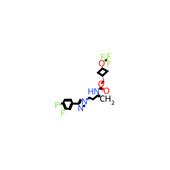 C=C(CCn1cnc(-c2ccc(F)c(F)c2)c1)NC(=O)OC[C@H]1C[C@@H](OC(F)(F)F)C1